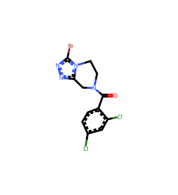 O=C(c1ccc(Cl)cc1Cl)N1CCn2c(Br)nnc2C1